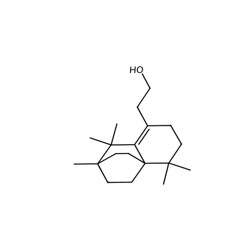 CC1(C)CCC(CCO)=C2C(C)(C)C3(C)CCC21CC3